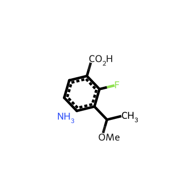 COC(C)c1cccc(C(=O)O)c1F.N